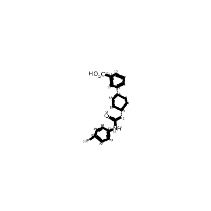 O=C(C[C@H]1CC[C@@H](c2cccc(C(=O)O)c2)CC1)Nc1ccc(F)cc1